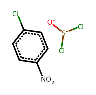 O=[N+]([O-])c1ccc(Cl)cc1.[O-][S+](Cl)Cl